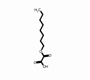 CCCCCCCCOC(=O)C(=O)O